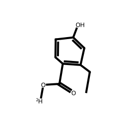 [2H]OC(=O)c1ccc(O)cc1CC